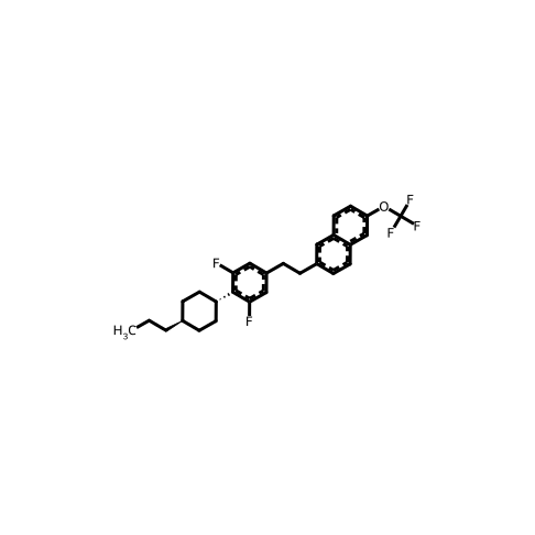 CCC[C@H]1CC[C@H](c2c(F)cc(CCc3ccc4cc(OC(F)(F)F)ccc4c3)cc2F)CC1